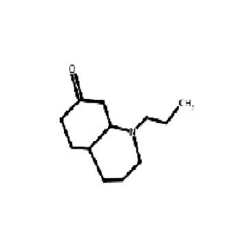 CCCN1CCCC2CCC(=O)CC21